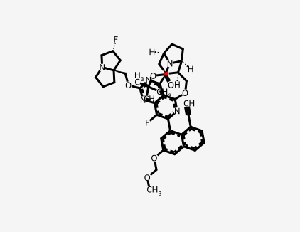 C#Cc1cccc2cc(OCOC)cc(-c3nc4c5c(nc(OC[C@@]67CCCN6C[C@H](F)C7)nc5c3F)N3C[C@H]5CC[C@@H]([C@H]3CO4)N5C(=O)OC(C)(C)C)c12